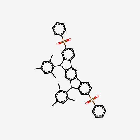 Cc1cc(C)c(B2c3cc(S(=O)(=O)c4ccccc4)ccc3-c3cc4c(cc32)B(c2c(C)cc(C)cc2C)c2cc(S(=O)(=O)c3ccccc3)ccc2-4)c(C)c1